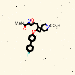 CNC(=O)c1cc(CC2C(Oc3ccc(-c4ccc(F)cc4)cc3)CC23CCN(C(=O)O)CC3)on1